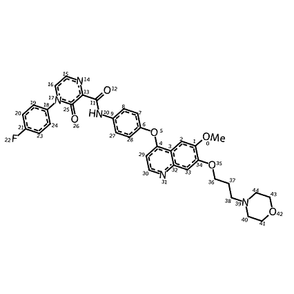 COc1cc2c(Oc3ccc(NC(=O)c4nccn(-c5ccc(F)cc5)c4=O)cc3)ccnc2cc1OCCCN1CCOCC1